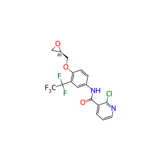 O=C(Nc1ccc(OC[C@H]2CO2)c(C(F)(F)C(F)(F)F)c1)c1cccnc1Cl